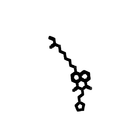 C=CC(=O)OCCCCCOc1ccc2c3c(cccc13)C(=O)N(CCN1CCCC1)C2=O